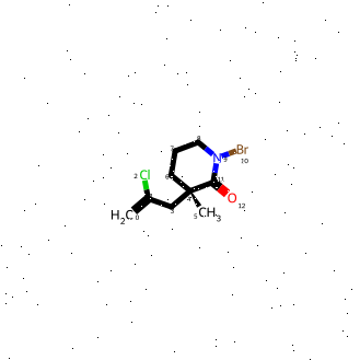 C=C(Cl)C[C@]1(C)CCCN(Br)C1=O